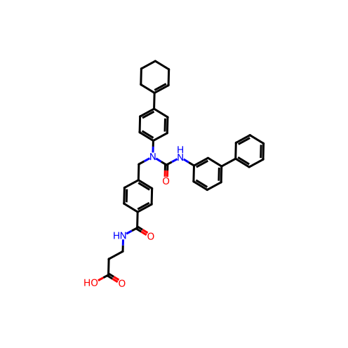 O=C(O)CCNC(=O)c1ccc(CN(C(=O)Nc2cccc(-c3ccccc3)c2)c2ccc(C3=CCCCC3)cc2)cc1